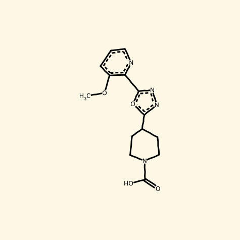 COc1cccnc1-c1nnc(C2CCN(C(=O)O)CC2)o1